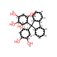 Oc1cc(O)c(C2(c3cc(O)c(O)cc3O)c3ccccc3-c3ccccc32)cc1O